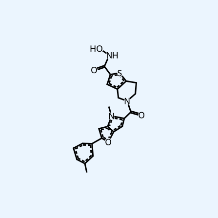 Cc1cccc(-c2cc3c(cc(C(=O)N4CCc5sc(C(=O)NO)cc5C4)n3C)o2)c1